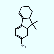 CC1(C)C2CCCC=C2C2=CC=C(N)CC21